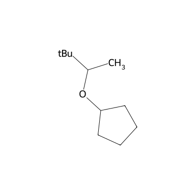 CC(OC1CCCC1)C(C)(C)C